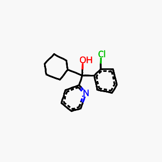 OC(c1ccccn1)(c1ccccc1Cl)C1CCCCC1